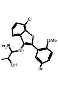 COc1ccc(Br)cc1-c1sc2c(Cl)cccc2c1NC(N)C(C)O